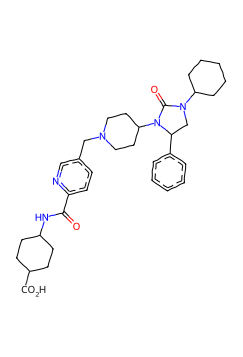 O=C(NC1CCC(C(=O)O)CC1)c1ccc(CN2CCC(N3C(=O)N(C4CCCCC4)CC3c3ccccc3)CC2)cn1